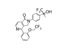 C[C@@](O)(c1ccc(N2Cc3c(ccnc3-c3ccccc3OCC(F)(F)F)C2=O)cc1)C(F)(F)F